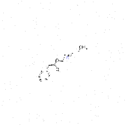 CCC/C=C/COC(=O)Cc1ccccc1